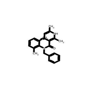 Cc1cc(=O)c(C(=O)N(Cc2ccccc2)c2c(C)cccc2C)c(C)[nH]1